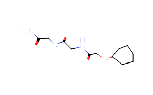 NC(=O)CNC(=O)CNC(=O)COC1CCCCC1